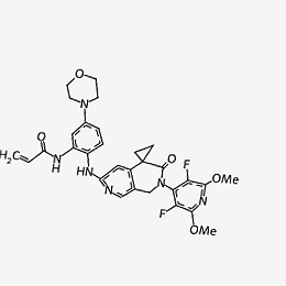 C=CC(=O)Nc1cc(N2CCOCC2)ccc1Nc1cc2c(cn1)CN(c1c(F)c(OC)nc(OC)c1F)C(=O)C21CC1